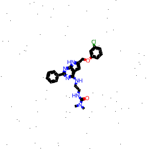 CN(C)C(=O)NCCNc1nc(-c2ccccc2)nc2[nH]c(COc3cccc(Cl)c3)cc12